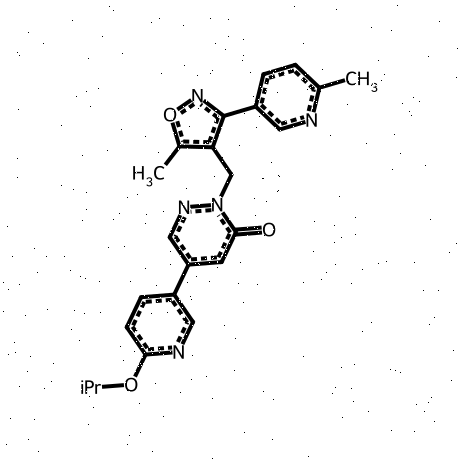 Cc1ccc(-c2noc(C)c2Cn2ncc(-c3ccc(OC(C)C)nc3)cc2=O)cn1